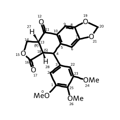 COc1cc(C2c3cc4c(cc3C(=O)[C@H]3COC(=O)[C@@H]23)OCO4)cc(OC)c1OC